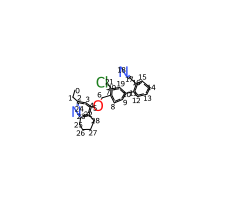 CCc1cc(OCc2ccc(-c3ccccc3C#N)cc2Cl)c2c(n1)CCCC2